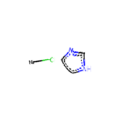 [Cl][Ni].c1c[nH]cn1